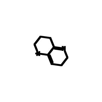 C1=C2[N]CCCC2=NCC1